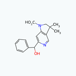 CC1(C)CN(C(=O)O)c2cc(C(O)c3ccccc3)ncc21